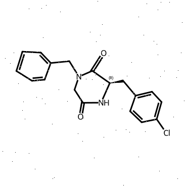 O=C1CN(Cc2ccccc2)C(=O)[C@@H](Cc2ccc(Cl)cc2)N1